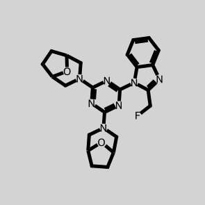 FCc1nc2ccccc2n1-c1nc(N2CC3CCC(C2)O3)nc(N2CC3CCC(C2)O3)n1